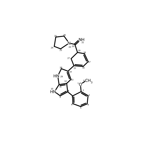 COc1ccccc1-c1c[nH]c2c1C=C(C1=CC=CC(C(=N)N3CCCC3)C1)CN2